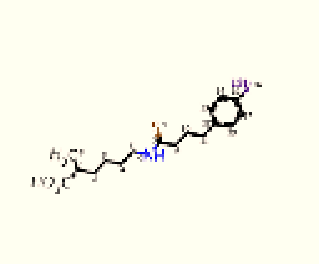 C[C@@H](CCCCNC(=S)CCCc1ccc([131I])cc1)C(=O)O